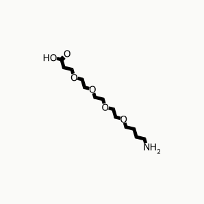 NCCCCOCCOCCOCCOCCC(=O)O